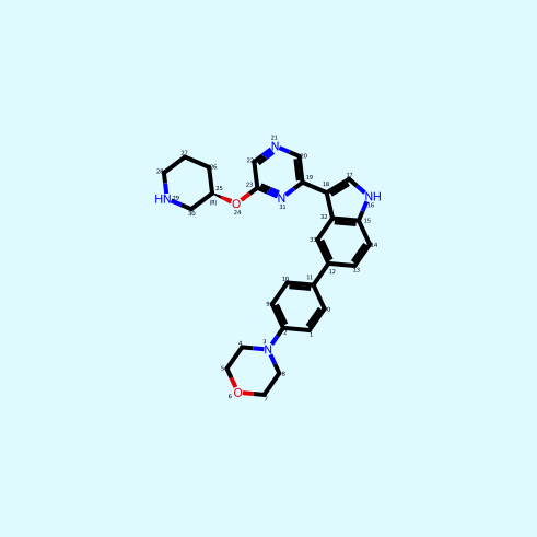 c1cc(N2CCOCC2)ccc1-c1ccc2[nH]cc(-c3cncc(O[C@@H]4CCCNC4)n3)c2c1